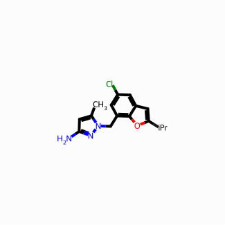 Cc1cc(N)nn1Cc1cc(Cl)cc2cc(C(C)C)oc12